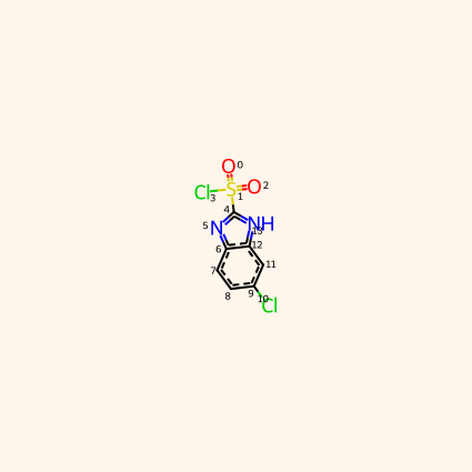 O=S(=O)(Cl)c1nc2ccc(Cl)cc2[nH]1